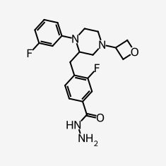 NNC(=O)c1ccc(CC2CN(C3COC3)CCN2c2cccc(F)c2)c(F)c1